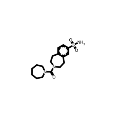 NS(=O)(=O)c1ccc2c(c1)CCN(C(=O)N1CCCCCC1)CC2